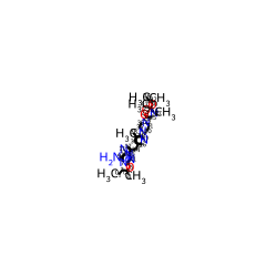 CCC[C@H](C)Oc1nc(N)c2ncc(Cc3cnc(N4CCN(C(=O)CN(C)C(=O)OC(C)(C)C)CC4)c(C)c3)n2n1